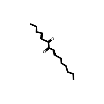 CCCC=CC(=O)C(=O)C=CCCCCCC